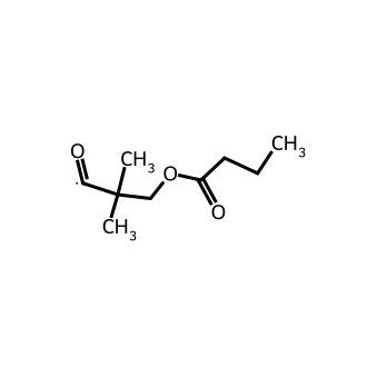 CCCC(=O)OCC(C)(C)[C]=O